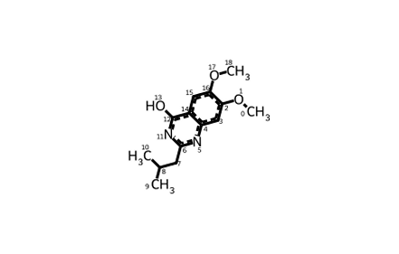 COc1cc2nc(CC(C)C)nc(O)c2cc1OC